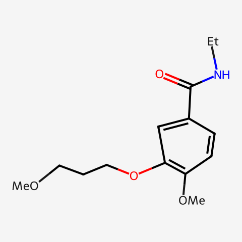 CCNC(=O)c1ccc(OC)c(OCCCOC)c1